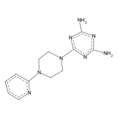 Nc1nc(N)nc(N2CCN(c3ccccn3)CC2)n1